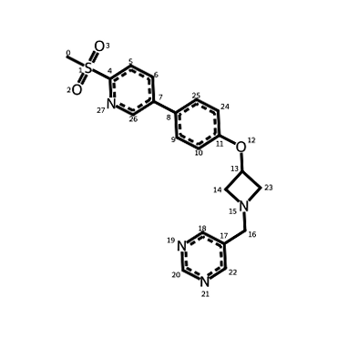 CS(=O)(=O)c1ccc(-c2ccc(OC3CN(Cc4cncnc4)C3)cc2)cn1